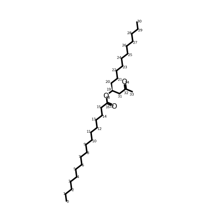 CCCCCCCCCCCCCCCCC(=O)O[C@@H](CCCCCCCCCCC)CC(C)=O